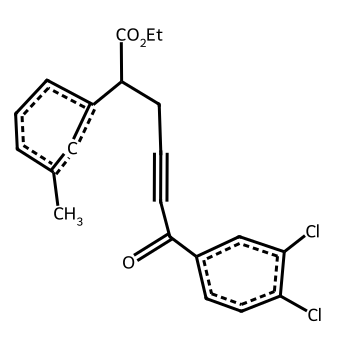 CCOC(=O)C(CC#CC(=O)c1ccc(Cl)c(Cl)c1)c1cccc(C)c1